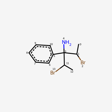 CC(Br)C(N)(c1ccccc1)C(C)Br